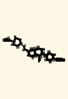 CCCC[C@H]1CC[C@H](CCc2ccc3c(F)c(-c4ccc(OC)cc4)ccc3c2)CC1